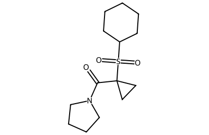 O=C(N1CCCC1)C1(S(=O)(=O)C2CCCCC2)CC1